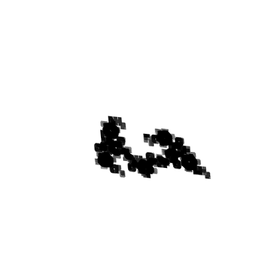 Nc1ccc([C@H]2NC(=O)N(c3cccc(C(F)(F)F)c3)C3=C2C(=O)N(CCNC(=O)c2cncc(C(=O)NCCN4CC5=C(C4=O)[C@@H](c4ccc(N)cc4)NC(=O)N5c4cccc(C(F)(F)F)c4)c2)C3)cc1